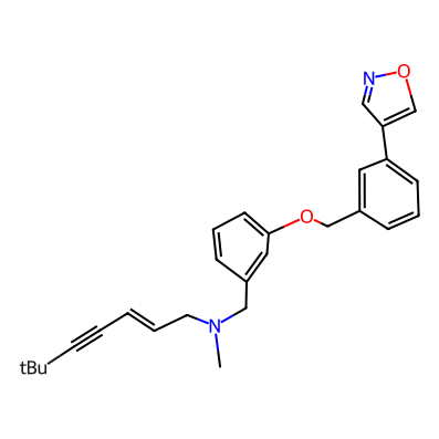 CN(C/C=C/C#CC(C)(C)C)Cc1cccc(OCc2cccc(-c3cnoc3)c2)c1